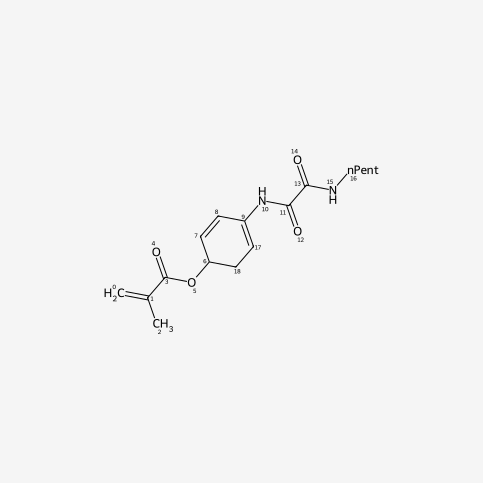 C=C(C)C(=O)OC1C=CC(NC(=O)C(=O)NCCCCC)=CC1